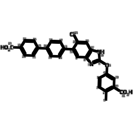 Cc1ccc(Oc2nc3cc(-c4ccc(-c5ccc(C(=O)O)cc5)cc4)c(Cl)cc3[nH]2)cc1C(=O)O